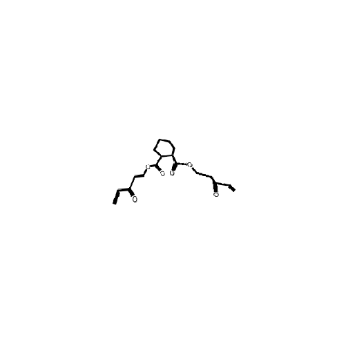 C=CC(=O)CCOC(=O)C1CCCCC1C(=O)OCCC(=O)C=C